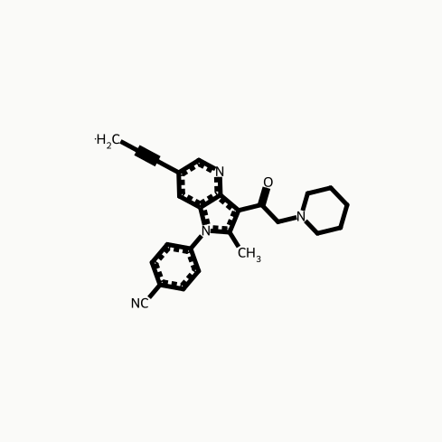 [CH2]C#Cc1cnc2c(C(=O)CN3CCCCC3)c(C)n(-c3ccc(C#N)cc3)c2c1